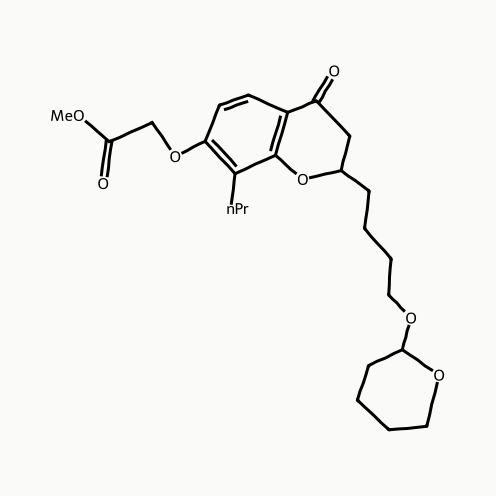 CCCc1c(OCC(=O)OC)ccc2c1OC(CCCCOC1CCCCO1)CC2=O